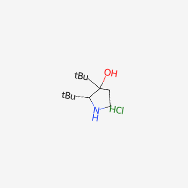 CC(C)(C)C1NCCC1(O)C(C)(C)C.Cl